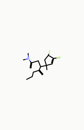 C=C(CCC)C(CC(=C)N(C)C)C1(C)C=C(F)C(F)C1